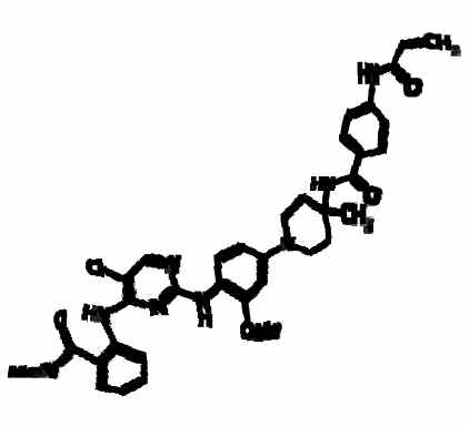 C=CC(=O)Nc1ccc(C(=O)NC2(C)CCN(c3ccc(Nc4ncc(Cl)c(Nc5ccccc5C(=O)NC)n4)c(OC)c3)CC2)cc1